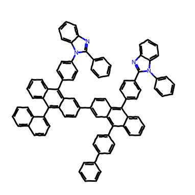 c1ccc(-c2ccc(-c3c4ccccc4c(-c4ccc(-c5nc6ccccc6n5-c5ccccc5)cc4)c4ccc(-c5ccc6c(-c7cccc8ccccc78)c7ccccc7c(-c7ccc(-n8c(-c9ccccc9)nc9ccccc98)cc7)c6c5)cc34)cc2)cc1